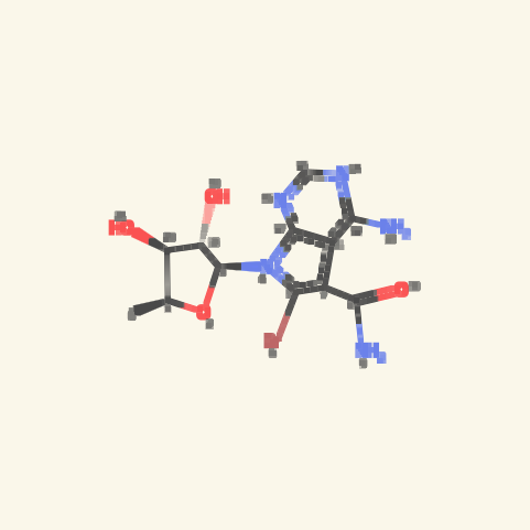 [CH2][C@@H]1O[C@H](n2c(Br)c(C(N)=O)c3c(N)ncnc32)[C@@H](O)[C@@H]1O